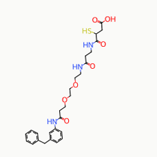 O=C(O)CC(S)C(=O)NCCC(=O)NCCOCCOCCC(=O)Nc1cccc(Cc2ccccc2)c1